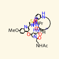 COc1ccc2c(O[C@@H]3C[C@@H](C(=O)N[C@]45C[C@H]4/C=C\CCCCCNc4ccccc4S(=O)(=O)NC5=O)N(C(=O)CCNC(C)=O)C3)cc(-c3csc(NC(C)C)n3)nc2c1